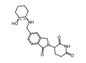 O=C1CCC(N2Cc3cc(CN[C@@H]4CCCC[C@@H]4O)ccc3C2=O)C(=O)N1